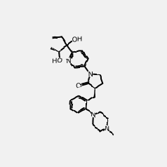 CCC(O)(c1ccc(N2CC[C@@H](Cc3ccccc3N3CCN(C)CC3)C2=O)cn1)[C@H](C)O